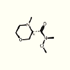 CON(C)C(=O)[C@@H]1COCCN1C